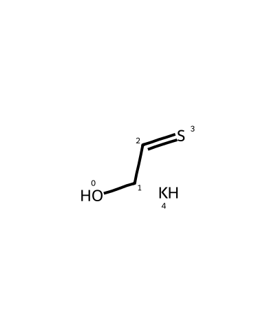 OCC=S.[KH]